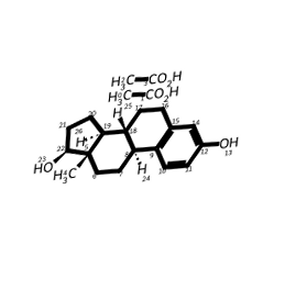 CC(=O)O.CC(=O)O.C[C@]12CC[C@@H]3c4ccc(O)cc4CC[C@H]3[C@@H]1CC[C@@H]2O